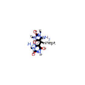 CCCCCCCC(c1c(N)n(C)c(=O)n(C)c1=O)c1c(N)n(C)c(=O)n(C)c1=O